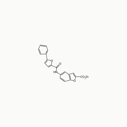 CCOC(=O)c1cc2cc(NC(=O)c3ccc(-c4ccccc4)o3)ccc2o1